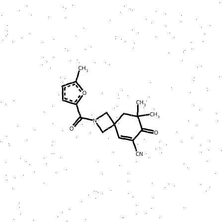 Cc1ccc(C(=O)N2CC3(C=C(C#N)C(=O)C(C)(C)C3)C2)o1